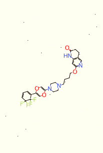 O=C1CCc2cnc(OCCCCN3CCN(C4=COC(C5=CC=CC(F)(F)C5(F)F)=CO4)CC3)cc2N1